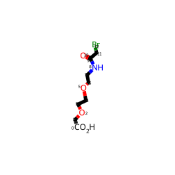 O=C(O)COCCOCCNC(=O)CBr